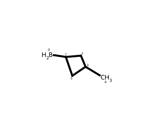 BC1CC(C)C1